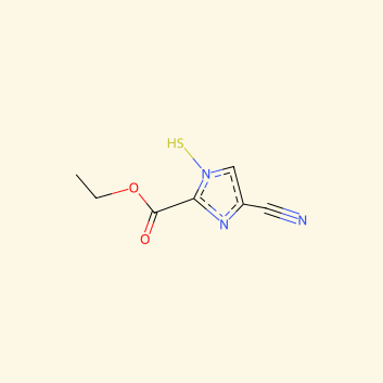 CCOC(=O)c1nc(C#N)cn1S